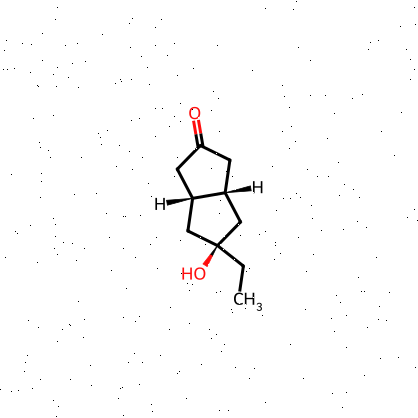 CC[C@@]1(O)C[C@H]2CC(=O)C[C@H]2C1